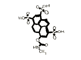 CNC(=O)OC1=CC(S(=O)(=O)O)=C2C=Cc3c(S(=O)(=O)O)cc(S(=O)(=O)O)c4c3C2C1C=C4